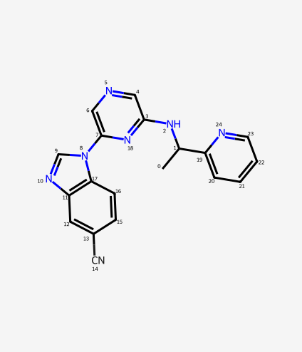 CC(Nc1cncc(-n2cnc3cc(C#N)ccc32)n1)c1ccccn1